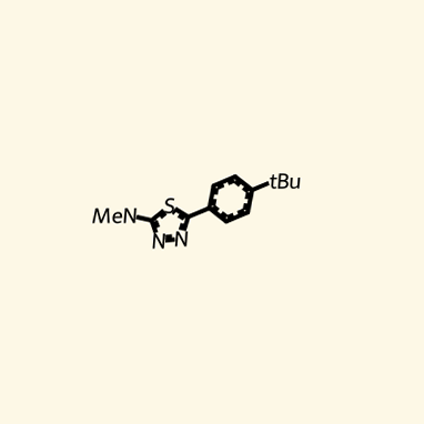 CNc1nnc(-c2ccc(C(C)(C)C)cc2)s1